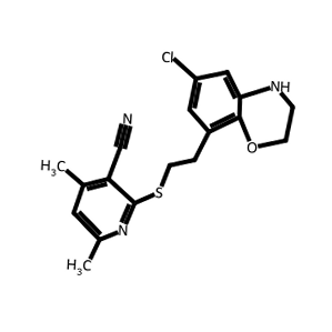 Cc1cc(C)c(C#N)c(SCCc2cc(Cl)cc3c2OCCN3)n1